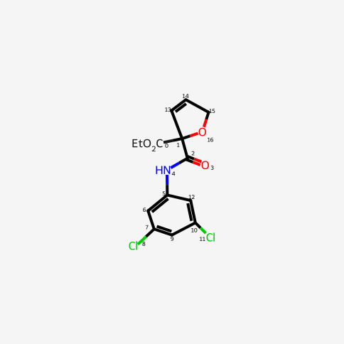 CCOC(=O)C1(C(=O)Nc2cc(Cl)cc(Cl)c2)C=CCO1